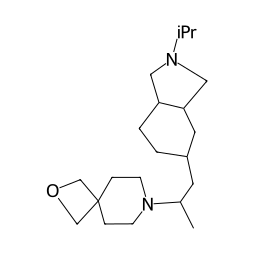 CC(C)N1CC2CCC(CC(C)N3CCC4(CC3)COC4)CC2C1